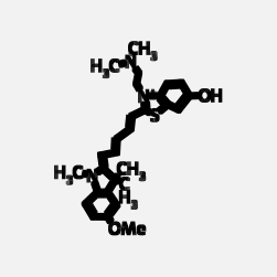 COc1ccc2c(c1)C(C)(C)\C(=C/C=C/C=C/c1sc3cc(O)ccc3[n+]1CCN(C)C)N2C